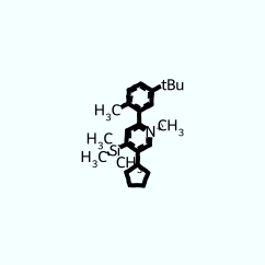 Cc1ccc(C(C)(C)C)cc1-c1cc([Si](C)(C)C)c(C2CCCC2)c[n+]1C